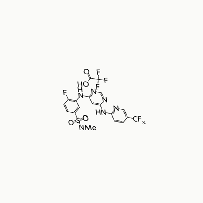 CNS(=O)(=O)c1ccc(F)c(Nc2cc(Nc3ccc(C(F)(F)F)cn3)ncn2)c1.O=C(O)C(F)(F)F